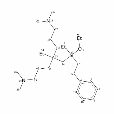 CCO[Si](CC)(CCc1ccccc1)CC(CC)(CCCN(C)C)CCCN(C)C